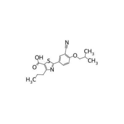 CCCc1nc(-c2ccc(OCC(C)C)c(C#N)c2)sc1C(=O)O